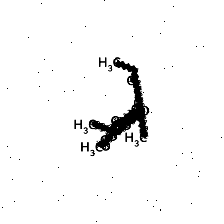 CCCCCC/C=C\CCC(=O)CCCCCCCOCC(OCCCCCCCC(=O)OC/C=C\CCCCCC)C(=O)N(CCCCCCCC)CCOCCOCCOCCOCCOC(=O)CC